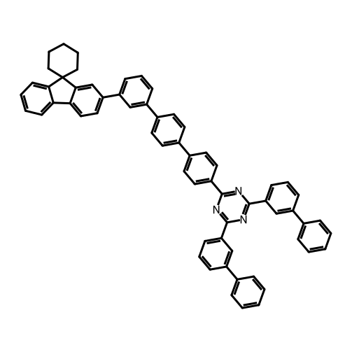 c1ccc(-c2cccc(-c3nc(-c4ccc(-c5ccc(-c6cccc(-c7ccc8c(c7)C7(CCCCC7)c7ccccc7-8)c6)cc5)cc4)nc(-c4cccc(-c5ccccc5)c4)n3)c2)cc1